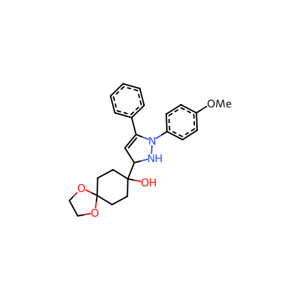 COc1ccc(N2NC(C3(O)CCC4(CC3)OCCO4)C=C2c2ccccc2)cc1